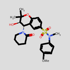 COc1ccc(N(C)S(=O)(=O)c2ccc3c(c2)[C@H](N2CCCCC2=O)[C@@H](O)C(C)(C)O3)cc1